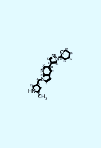 C[C@H]1CC(Cn2ccc3cc(-c4cnn(C5CCCCO5)c4)cnc32)CN1